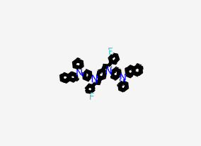 Fc1cccc(-c2cc3cc4c(cc(-c5cccc(F)c5)n4-c4ccc(N(c5ccccc5)c5ccc6ccccc6c5)cc4)cc3n2-c2ccc(N(c3ccccc3)c3ccc4ccccc4c3)cc2)c1